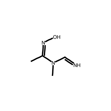 C/C(=N/O)N(C)C=N